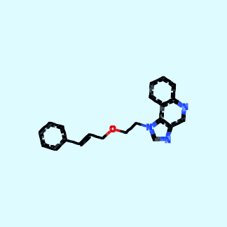 C(=Cc1ccccc1)COCCn1cnc2cnc3ccccc3c21